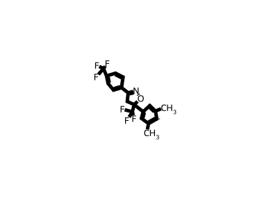 Cc1[c]c(C)cc(C2(C(F)(F)F)CC(c3ccc(C(F)(F)F)cc3)=NO2)c1